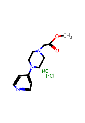 COC(=O)CN1CCN(c2ccncc2)CC1.Cl.Cl